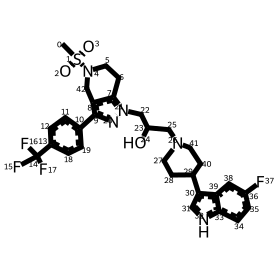 CS(=O)(=O)N1CCc2c(c(-c3ccc(C(F)(F)F)cc3)nn2CC(O)CN2CCC(c3c[nH]c4ccc(F)cc34)CC2)C1